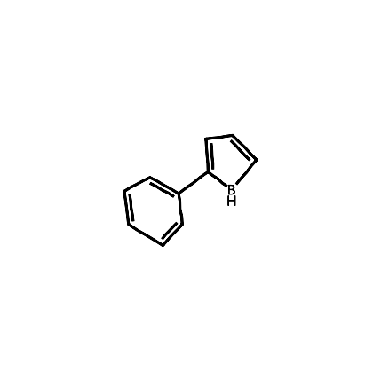 B1C=CC=C1c1ccccc1